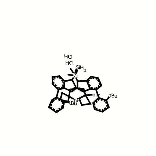 CCCC1(CC2=Cc3c(-c4ccccc4C(C)(C)C)cccc3[CH]2[Zr]([CH3])([CH3])(=[SiH2])[CH]2C(CC3(CCC)CCC3)=Cc3c(-c4ccccc4C(C)(C)C)cccc32)CCC1.Cl.Cl